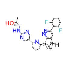 C[C@H](O)CNc1ncc(-c2cccc([C@@]34CC[C@@H](c5cc(-c6c(F)cccc6F)nnc53)C4(C)C)n2)cn1